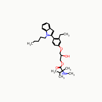 CCCCCn1c(-c2ccc(OCC(O)COC(=O)C(C)(NC)C(C)C)cc2CC)cc2ccccc21